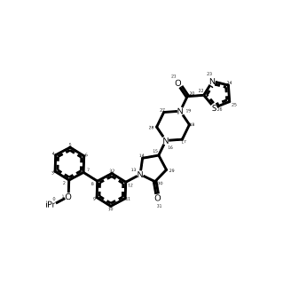 CC(C)Oc1ccccc1-c1cccc(N2CC(N3CCN(C(=O)c4nccs4)CC3)CC2=O)c1